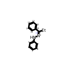 CC/C(=N/Nc1ccccc1)c1ccccc1